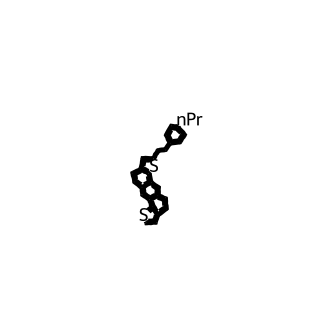 CCCc1ccc(CCc2cc3ccc4cc5c(ccc6ccsc65)cc4c3s2)cc1